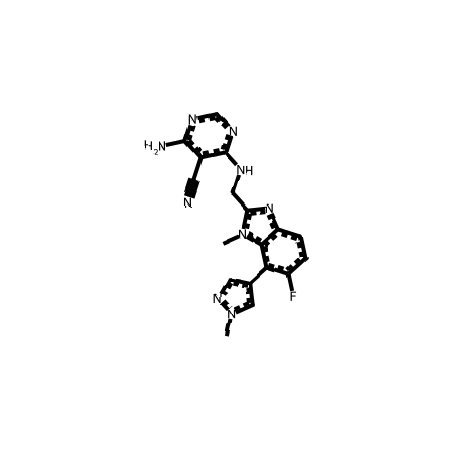 Cn1cc(-c2c(F)ccc3nc(CNc4ncnc(N)c4C#N)n(C)c23)cn1